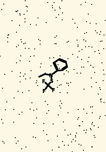 CCN(SC(F)(F)F)c1ccccc1